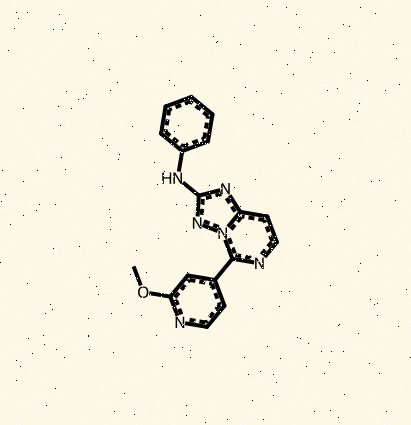 COc1cc(-c2nccc3nc(Nc4ccccc4)nn23)ccn1